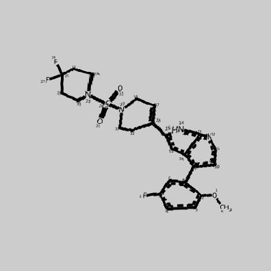 COc1ccc(F)cc1-c1ccnc2[nH]c(C3=CCN(S(=O)(=O)N4CCC(F)(F)CC4)CC3)cc12